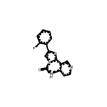 O=c1[nH]c2ccncc2c2nc(-c3ccccc3F)cn12